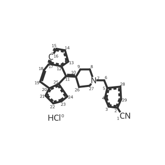 Cl.N#Cc1ccc(CN2CCC(=C3c4ccccc4C=Cc4ccccc43)CC2)cc1